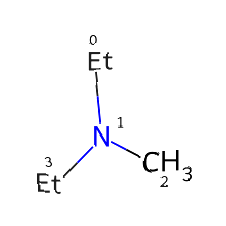 [CH2]CN(C)CC